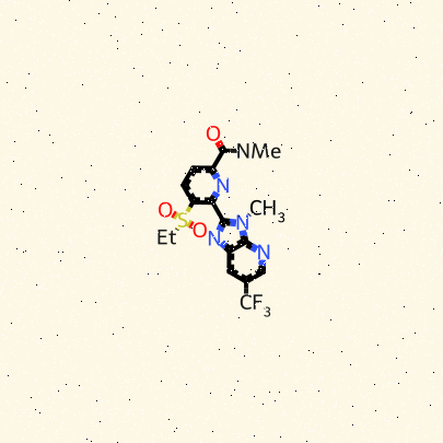 CCS(=O)(=O)c1ccc(C(=O)NC)nc1-c1nc2cc(C(F)(F)F)cnc2n1C